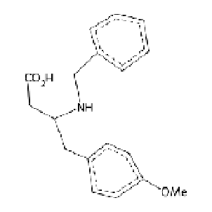 COc1ccc(CC(CC(=O)O)NCc2ccccc2)cc1